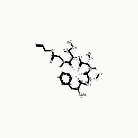 C=CCOC(=O)CN(C)C(=O)[C@@H](NC(=O)[C@H](CC(C)C)N(C)C(=O)[C@H](CC(C)C)NC(=O)[C@H](Cc1ccccc1)NC)[C@@H](C)OCCCC